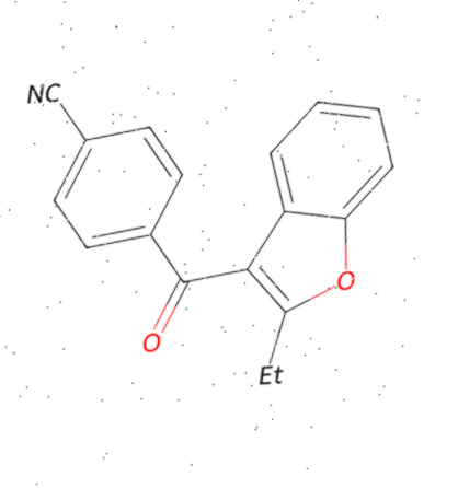 CCc1oc2ccccc2c1C(=O)c1ccc(C#N)cc1